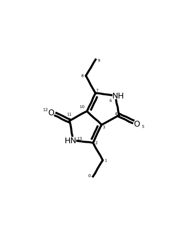 CCC1=C2C(=O)NC(CC)=C2C(=O)N1